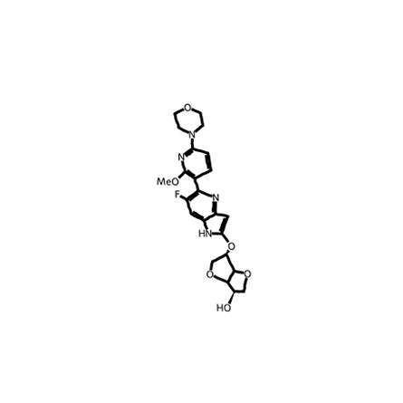 COc1nc(N2CCOCC2)ccc1-c1nc2cc(O[C@@H]3COC4C3OC[C@H]4O)[nH]c2cc1F